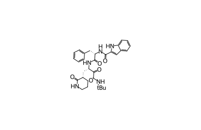 CC(C)(C)NC(=O)C(=O)[C@H](C[C@@H]1CCCNC1=O)NC(=O)[C@H](Cc1ccccc1)NC(=O)c1cc2ccccc2[nH]1